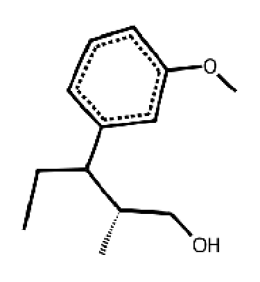 CCC(c1cccc(OC)c1)[C@@H](C)CO